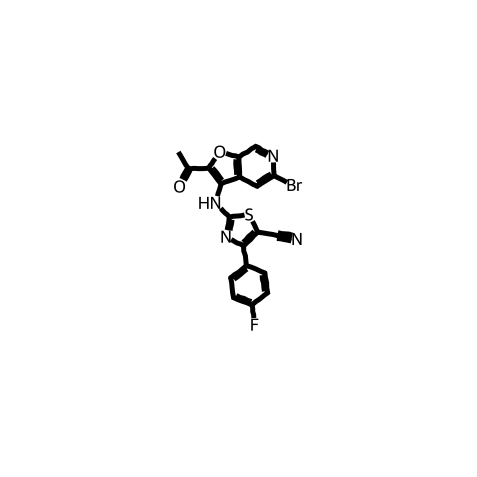 CC(=O)c1oc2cnc(Br)cc2c1Nc1nc(-c2ccc(F)cc2)c(C#N)s1